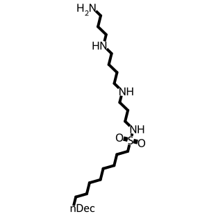 CCCCCCCCCCCCCCCCCCS(=O)(=O)NCCCNCCCCNCCCN